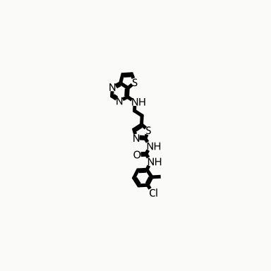 Cc1c(Cl)cccc1NC(=O)Nc1ncc(CCNc2ncnc3ccsc23)s1